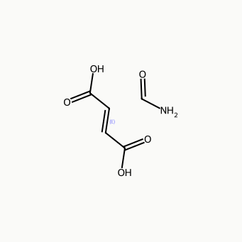 NC=O.O=C(O)/C=C/C(=O)O